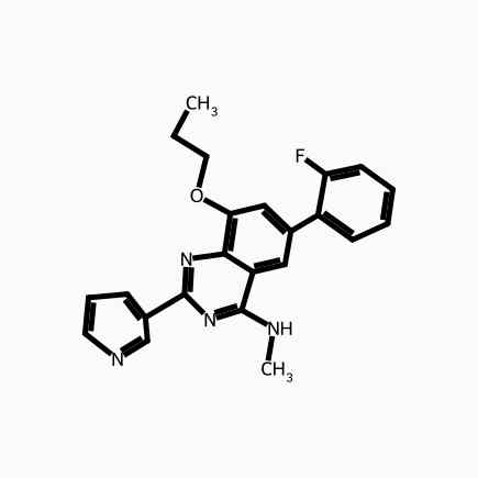 CCCOc1cc(-c2ccccc2F)cc2c(NC)nc(-c3cccnc3)nc12